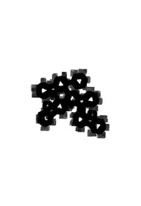 c1ccc(-c2ccc3c4ccccc4n(-c4cccc5c4oc4ccccc45)c3c2-c2ccc3c(c2)c2ccccc2n3-c2cccc3c2oc2ccccc23)cc1